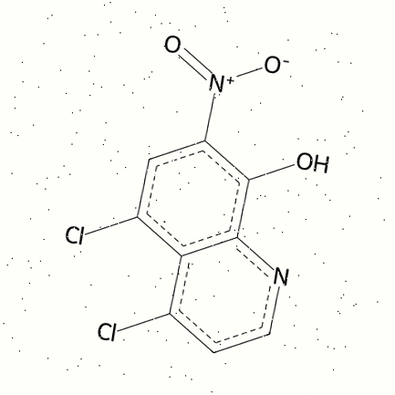 O=[N+]([O-])c1cc(Cl)c2c(Cl)ccnc2c1O